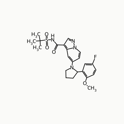 COc1ccc(F)cc1C1CCCN1c1ccn2ncc(C(=O)NS(=O)(=O)C(C)(C)C)c2c1